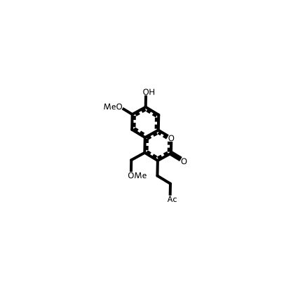 COCc1c(CCC(C)=O)c(=O)oc2cc(O)c(OC)cc12